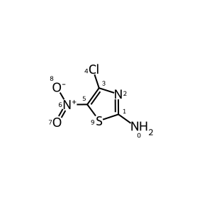 Nc1nc(Cl)c([N+](=O)[O-])s1